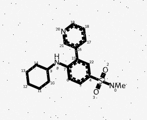 CNS(=O)(=O)c1ccc(NC2CCCCC2)c(-c2cccnc2)c1